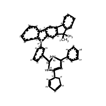 CC1(C)c2ccccc2-c2cc3c4ccccc4n(-c4cccc(C5NC(C6C=CC=CC6)=CC(c6ccccc6)N5)c4)c3cc21